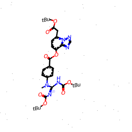 CN(/C(=N\C(=O)OC(C)(C)C)NC(=O)OC(C)(C)C)c1ccc(C(=O)Oc2ccc(CC(=O)OC(C)(C)C)n3ncnc23)cc1